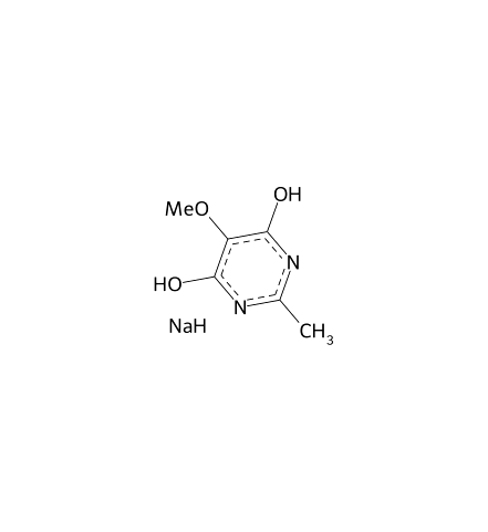 COc1c(O)nc(C)nc1O.[NaH]